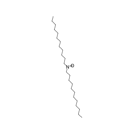 CCCCCCCCCCCC[N+](=O)CCCCCCCCCCCC